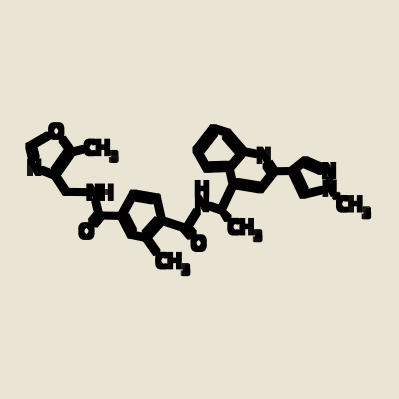 Cc1cc(C(=O)NCc2ncoc2C)ccc1C(=O)N[C@H](C)c1cc(-c2cnn(C)c2)nc2ccccc12